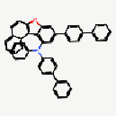 c1ccc(-c2ccc(-c3cc(N(c4ccccc4)c4ccc(-c5ccccc5)cc4)c4c(c3)oc3ccc5ccccc5c34)cc2)cc1